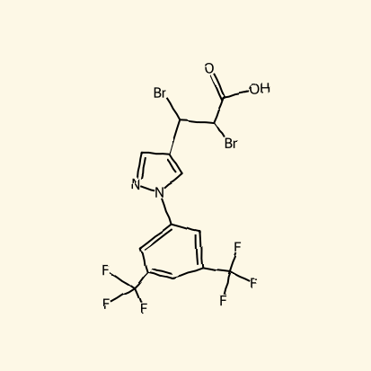 O=C(O)C(Br)C(Br)c1cnn(-c2cc(C(F)(F)F)cc(C(F)(F)F)c2)c1